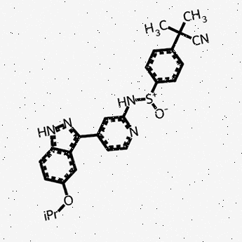 CC(C)Oc1ccc2[nH]nc(-c3ccnc(N[S+]([O-])c4ccc(C(C)(C)C#N)cc4)c3)c2c1